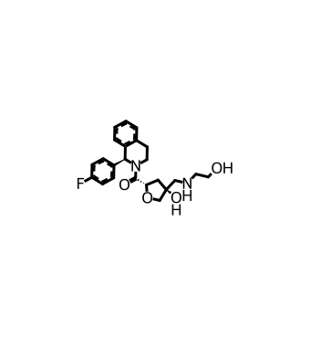 O=C([C@@H]1C[C@](O)(CNCCO)CO1)N1CCc2ccccc2[C@@H]1c1ccc(F)cc1